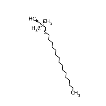 C#C[Si](C)(C)CSCCCCCCCCCCCCCCCC